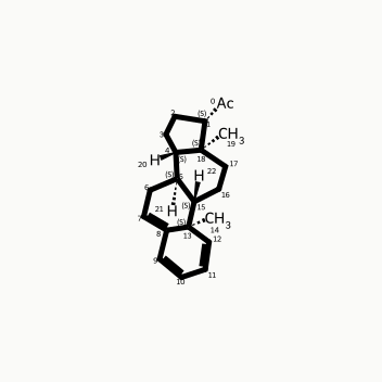 CC(=O)[C@H]1CC[C@H]2[C@@H]3CC=C4C=CC=C[C@]4(C)[C@H]3CC[C@]12C